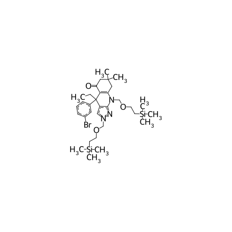 CCC1(c2cccc(Br)c2)C2=C(CC(C)(C)CC2=O)N(COCC[Si](C)(C)C)c2nn(COCC[Si](C)(C)C)cc21